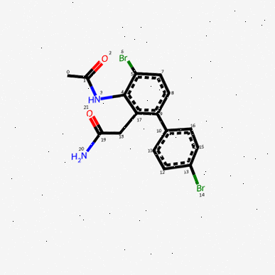 CC(=O)Nc1c(Br)ccc(-c2ccc(Br)cc2)c1CC(N)=O